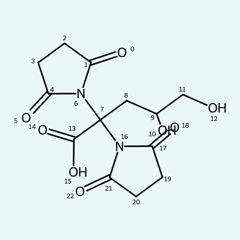 O=C1CCC(=O)N1C(CC(O)CO)(C(=O)O)N1C(=O)CCC1=O